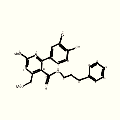 COCc1nc(SC)nc(-c2ccc(Cl)c(Cl)c2)c1C(=O)OCCCc1ccccc1